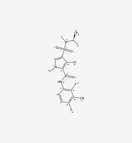 C[C@@H](N(C)S(=O)(=O)c1cn(C)c(C(=O)Nc2ccc(F)c(C#N)c2F)c1Cl)C(F)(F)F